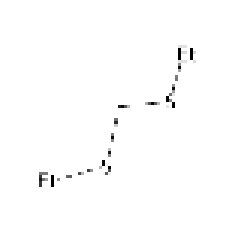 [CH2]CSCSCC